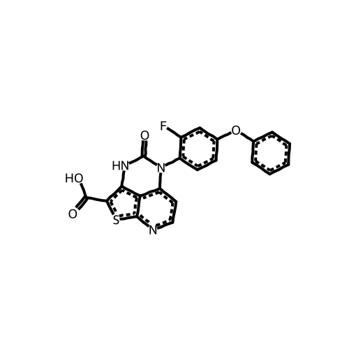 O=C(O)c1sc2nccc3c2c1NC(=O)N3c1ccc(Oc2ccccc2)cc1F